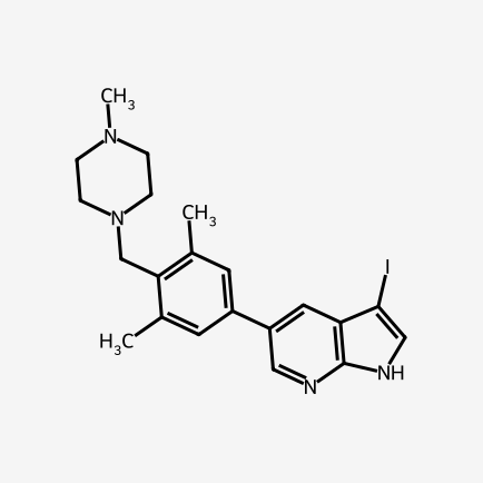 Cc1cc(-c2cnc3[nH]cc(I)c3c2)cc(C)c1CN1CCN(C)CC1